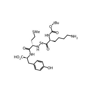 CSCC[C@H](N[Se]C(=O)[C@H](CCCCN)NC(=O)OC(C)(C)C)C(=O)N[C@@H](Cc1ccc(O)cc1)C(=O)O